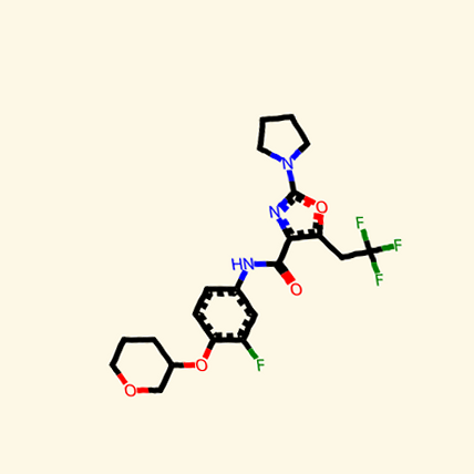 O=C(Nc1ccc(OC2CCCOC2)c(F)c1)c1nc(N2CCCC2)oc1CC(F)(F)F